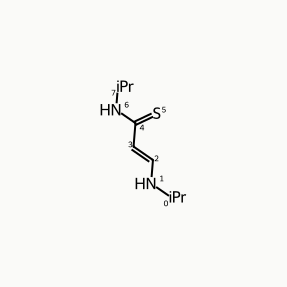 CC(C)NC=CC(=S)NC(C)C